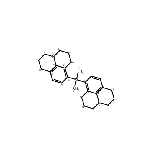 C[Si](C)(c1ccc2c3c1CCCN3CCC2)c1ccc2c3c1CCCN3CCC2